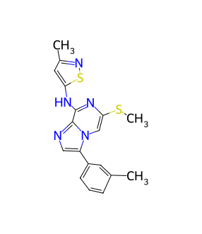 CSc1cn2c(-c3cccc(C)c3)cnc2c(Nc2cc(C)ns2)n1